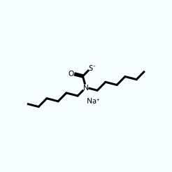 CCCCCCN(CCCCCC)C(=O)[S-].[Na+]